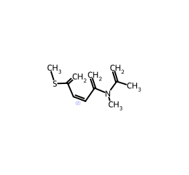 C=C(/C=C\C(=C)N(C)C(=C)C)SC